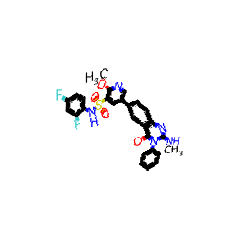 CNc1nc2ccc(-c3cnc(OC)c(S(=O)(=O)Nc4ccc(F)cc4F)c3)cc2c(=O)n1-c1ccccc1